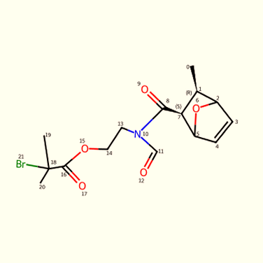 C[C@H]1C2C=CC(O2)[C@H]1C(=O)N(C=O)CCOC(=O)C(C)(C)Br